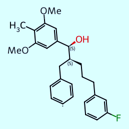 COc1cc([C@@H](O)[C@@H](CCCc2cccc(F)c2)Cc2cc[c]cc2)cc(OC)c1C